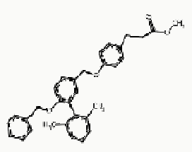 COC(=O)CCc1ccc(OCc2ccc(OCc3ccccc3)c(-c3c(C)cccc3C)c2)cc1